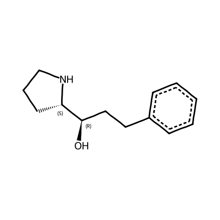 O[C@H](CCc1ccccc1)[C@@H]1CCCN1